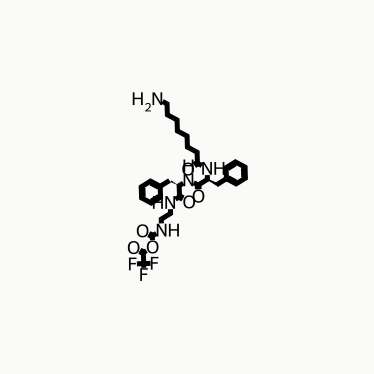 NCCCCCCCC(=O)N[C@@H](Cc1ccccc1)C(=O)N[C@@H](Cc1ccccc1)C(=O)NCCNC(=O)OC(=O)C(F)(F)F